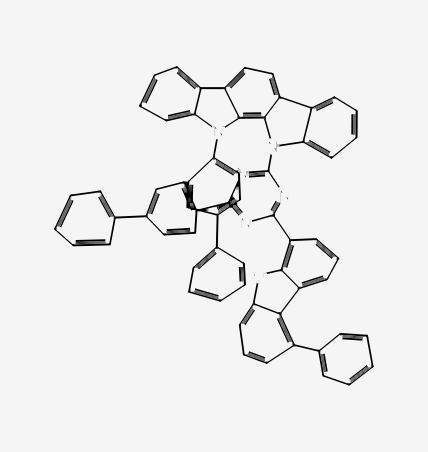 c1ccc(-c2ccc(-c3nc(-c4cccc5c4oc4cccc(-c6ccccc6)c45)nc(-n4c5ccccc5c5ccc6c7ccccc7n(-c7ccc(-c8ccccc8)cc7)c6c54)n3)cc2)cc1